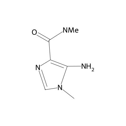 CNC(=O)c1ncn(C)c1N